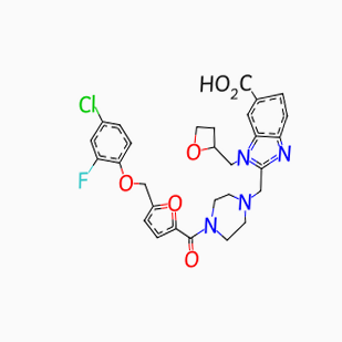 O=C(O)c1ccc2nc(CN3CCN(C(=O)c4ccc(COc5ccc(Cl)cc5F)o4)CC3)n(CC3CCO3)c2c1